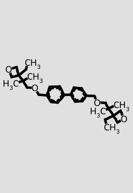 CCC1(C(C)(C)COCc2ccc(-c3ccc(COCC(C)(C)C4(CC)COC4)cc3)cc2)COC1